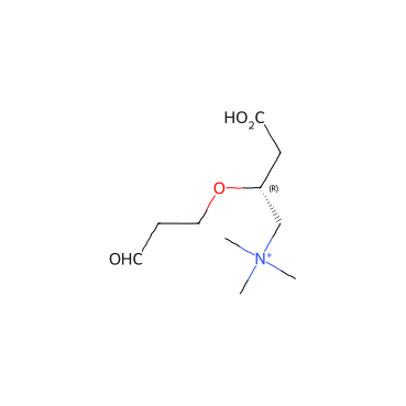 C[N+](C)(C)C[C@@H](CC(=O)O)OCCC=O